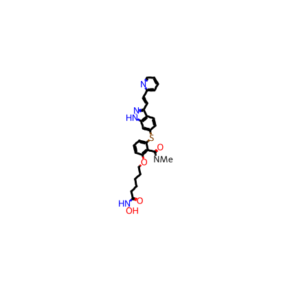 CNC(=O)c1c(OCCCCCC(=O)NO)cccc1Sc1ccc2c(/C=C/c3ccccn3)n[nH]c2c1